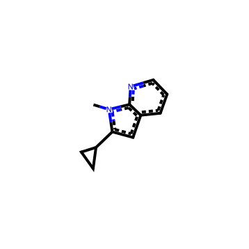 Cn1c(C2CC2)cc2cccnc21